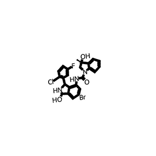 C[C@]1(O)CN(C(=O)Nc2cc(Br)cc3c2C(c2cc(F)ccc2Cl)NC3O)c2ccccc21